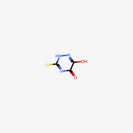 O=c1nc([S])[nH]nc1O